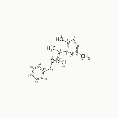 CC(c1nc(C)ccc1O)=[N+](Cl)OCc1ccccc1